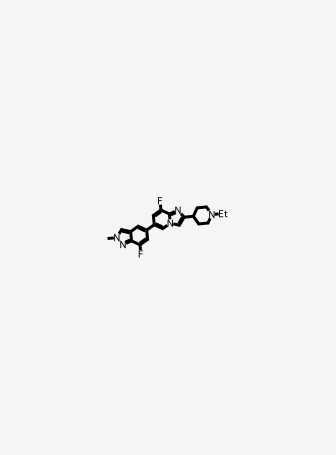 CCN1CCC(c2cn3cc(-c4cc(F)c5nn(C)cc5c4)cc(F)c3n2)CC1